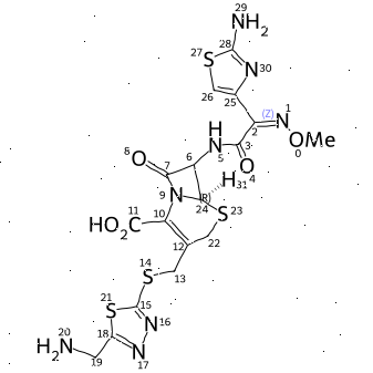 CO/N=C(\C(=O)NC1C(=O)N2C(C(=O)O)=C(CSc3nnc(CN)s3)CS[C@H]12)c1csc(N)n1